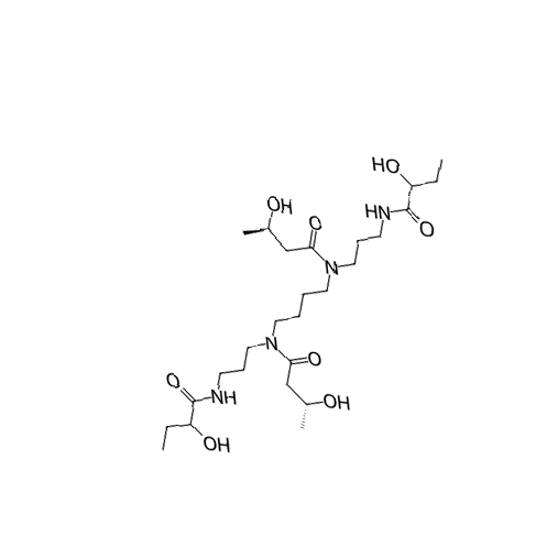 CCC(O)C(=O)NCCCN(CCCCN(CCCNC(=O)C(O)CC)C(=O)C[C@@H](C)O)C(=O)C[C@@H](C)O